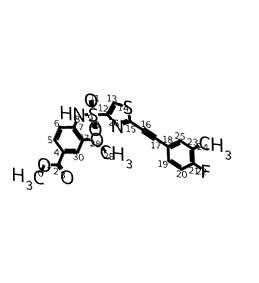 COC(=O)c1ccc(NS(=O)(=O)c2csc(C#Cc3ccc(F)c(C)c3)n2)c(OC)c1